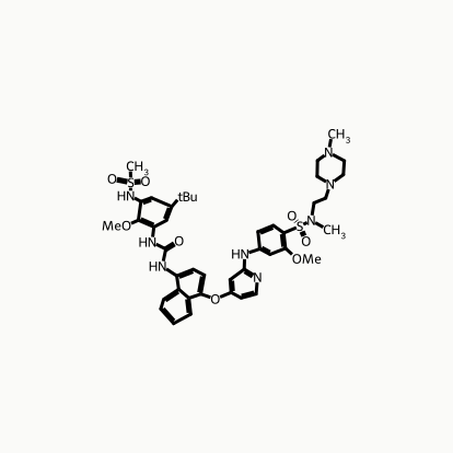 COc1cc(Nc2cc(Oc3ccc(NC(=O)Nc4cc(C(C)(C)C)cc(NS(C)(=O)=O)c4OC)c4ccccc34)ccn2)ccc1S(=O)(=O)N(C)CCN1CCN(C)CC1